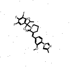 COc1cc(C=C2CCCN3C2=NOC3(c2cc(F)c(F)c(F)c2)C(C)O)ccc1-n1cnc(C)c1